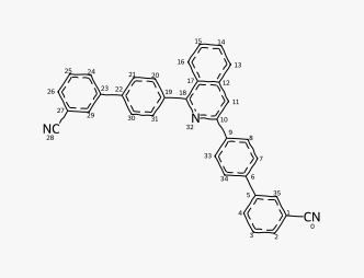 N#Cc1cccc(-c2ccc(-c3cc4ccccc4c(-c4ccc(-c5cccc(C#N)c5)cc4)n3)cc2)c1